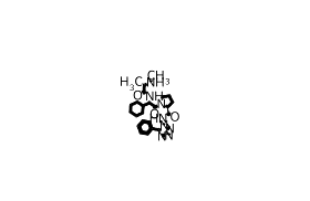 CN[C@@H](C)C(=O)N[C@H](C(=O)N1CCC[C@H]1C(=O)Nn1nnnc1-c1ccccc1)C1CCCCC1